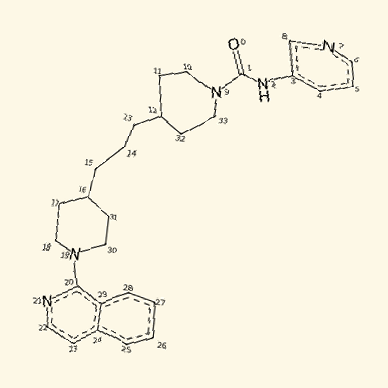 O=C(Nc1cccnc1)N1CCC(CCCC2CCN(c3nccc4ccccc34)CC2)CC1